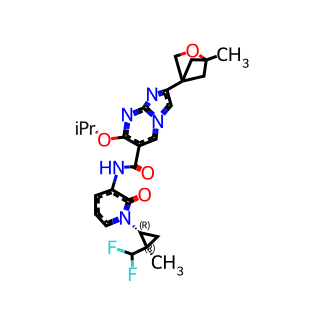 CC(C)Oc1nc2nc(C34COC(C)(C3)C4)cn2cc1C(=O)Nc1cccn([C@@H]2C[C@@]2(C)C(F)F)c1=O